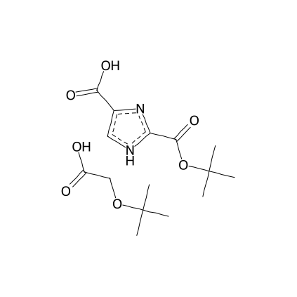 CC(C)(C)OC(=O)c1nc(C(=O)O)c[nH]1.CC(C)(C)OCC(=O)O